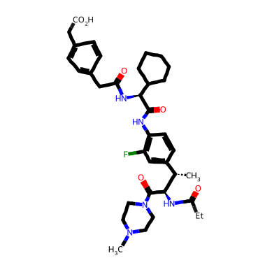 CCC(=O)N[C@@H](C(=O)N1CCN(C)CC1)[C@@H](C)c1ccc(NC(=O)[C@@H](NC(=O)Cc2ccc(CC(=O)O)cc2)C2CCCCC2)c(F)c1